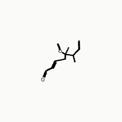 CCC(C)C(C)(CC=CC=O)OC